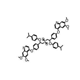 COc1cc2nccc(Oc3ccc(C(CS(=O)(=O)CC(Oc4ccc(C(C)C)cc4)c4ccc(Oc5ccnc6cc(OC)c(OC)cc56)cc4)Oc4ccc(C(C)C)cc4)cc3)c2cc1OC